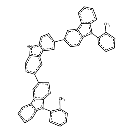 Cc1ccccc1-n1c2ccccc2c2cc(-c3ccc4[nH]c5ccc(-c6ccc7c(c6)c6ccccc6n7-c6ccccc6C)cc5c4c3)ccc21